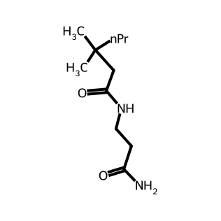 CCCC(C)(C)CC(=O)NCCC(N)=O